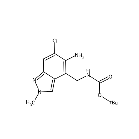 Cn1cc2c(CNC(=O)OC(C)(C)C)c(N)c(Cl)cc2n1